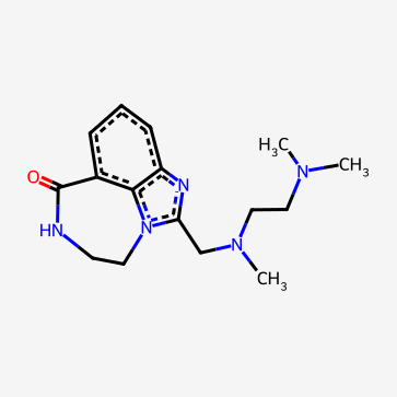 CN(C)CCN(C)Cc1nc2cccc3c2n1CCNC3=O